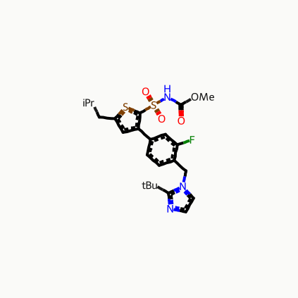 COC(=O)NS(=O)(=O)c1sc(CC(C)C)cc1-c1ccc(Cn2ccnc2C(C)(C)C)c(F)c1